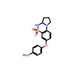 COc1ccc(Oc2ccc3c(c2)S(=O)(=O)NC2CCCN32)cc1